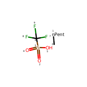 CCCCCC.O=S(=O)(O)C(F)(F)F